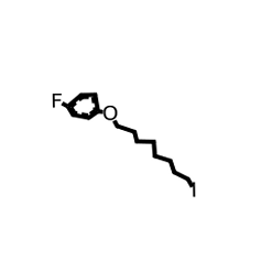 Fc1ccc(OCCCCCCCCI)cc1